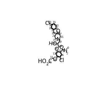 CN(C)C(=O)c1cc(Cl)c(OCC(=O)O)cc1OC[C@H](O)CN1CCC2(CC1)Cc1cc(Cl)ccc1O2